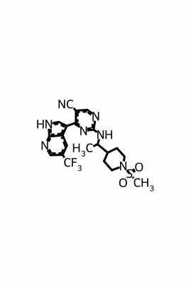 CC(Nc1ncc(C#N)c(-c2c[nH]c3ncc(C(F)(F)F)cc23)n1)C1CCN(S(C)(=O)=O)CC1